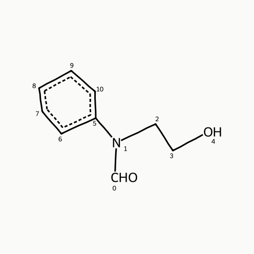 O=CN(CCO)c1ccccc1